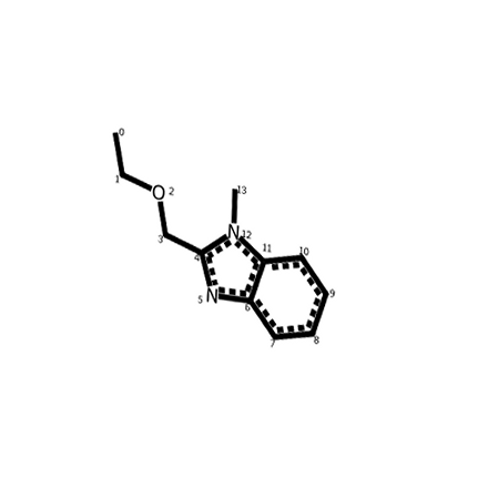 CCOCc1nc2ccccc2n1C